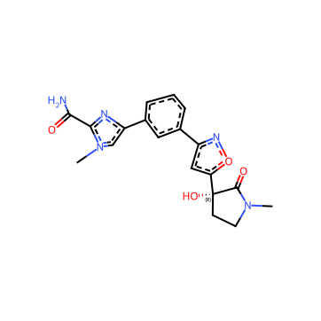 CN1CC[C@@](O)(c2cc(-c3cccc(-c4cn(C)c(C(N)=O)n4)c3)no2)C1=O